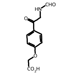 O=CNCC(=O)c1ccc(OCC(=O)O)cc1